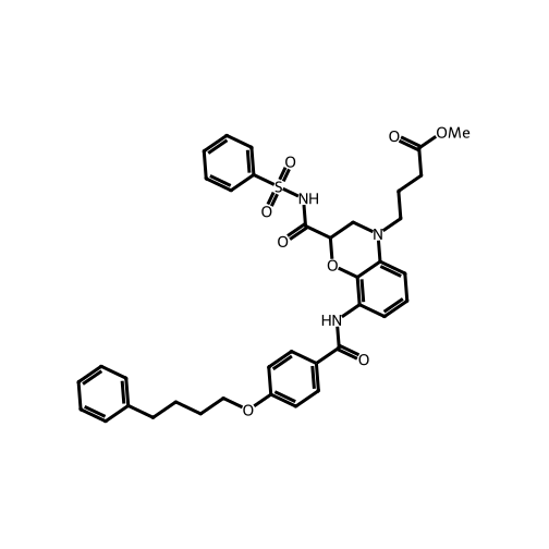 COC(=O)CCCN1CC(C(=O)NS(=O)(=O)c2ccccc2)Oc2c(NC(=O)c3ccc(OCCCCc4ccccc4)cc3)cccc21